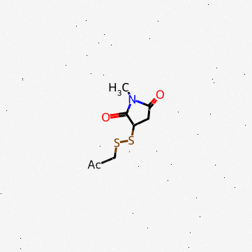 CC(=O)CSSC1CC(=O)N(C)C1=O